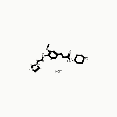 COc1cc(CCC(=O)N[C@H]2CC[C@H](C)CC2)ccc1OCCn1ccnc1.Cl